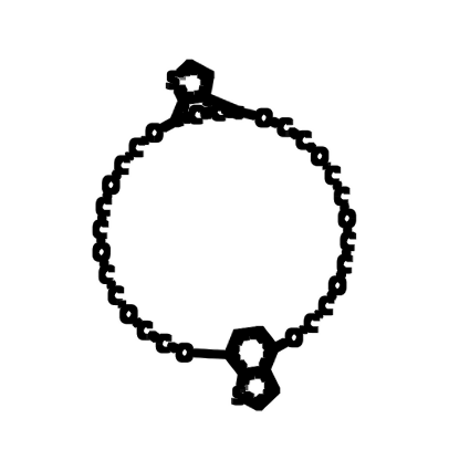 c1cc2c3ccc(c2s1)OCCOCCOCCOCCOc1ccc(c2ccsc12)OCCOCCOCCOCCO3